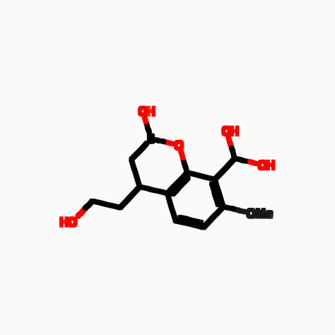 COc1ccc2c(c1C(O)O)OB(O)CC2CCO